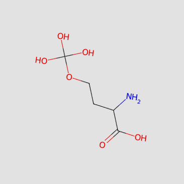 NC(CCOC(O)(O)O)C(=O)O